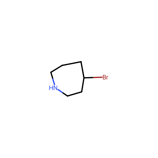 BrC1CCCNCC1